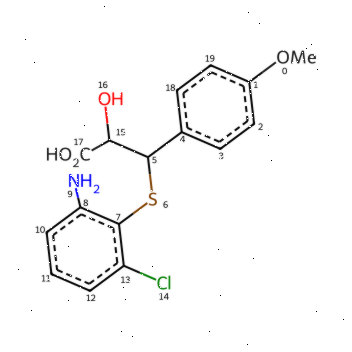 COc1ccc(C(Sc2c(N)cccc2Cl)C(O)C(=O)O)cc1